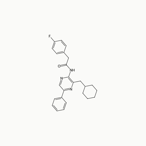 O=C(Cc1ccc(F)cc1)Nc1ncc(-c2ccccc2)nc1CC1CCCCC1